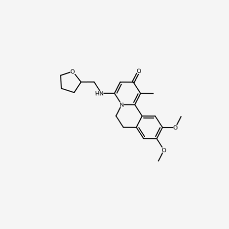 COc1cc2c(cc1OC)-c1c(C)c(=O)cc(NCC3CCCO3)n1CC2